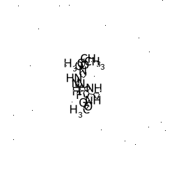 COC(=O)Nc1ccc2c(-c3nc(N[C@H]4CCCN(C(=O)OC(C)(C)C)C4)ncc3C(F)(F)F)c[nH]c2c1-c1ccccc1